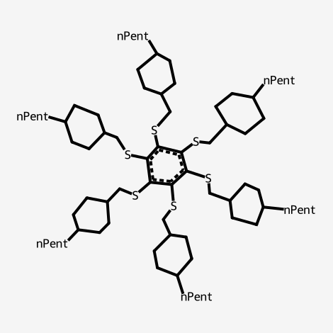 CCCCCC1CCC(CSc2c(SCC3CCC(CCCCC)CC3)c(SCC3CCC(CCCCC)CC3)c(SCC3CCC(CCCCC)CC3)c(SCC3CCC(CCCCC)CC3)c2SCC2CCC(CCCCC)CC2)CC1